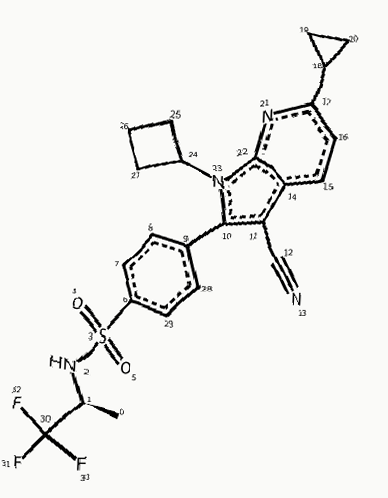 C[C@H](NS(=O)(=O)c1ccc(-c2c(C#N)c3ccc(C4CC4)nc3n2C2CCC2)cc1)C(F)(F)F